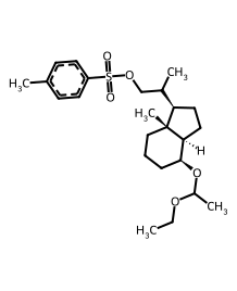 CCOC(C)O[C@H]1CCC[C@]2(C)[C@@H](C(C)COS(=O)(=O)c3ccc(C)cc3)CC[C@@H]12